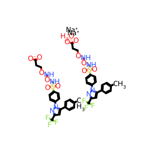 Cc1ccc(-c2cc(C(F)(F)F)nn2-c2ccc(S(=O)(=O)NONOCCC(=O)[O-])cc2)cc1.Cc1ccc(-c2cc(C(F)(F)F)nn2-c2ccc(S(=O)(=O)NONOCCC(=O)[O-])cc2)cc1.O.[Na+].[Na+]